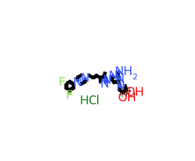 Cc1c(C=CCN2CCN(c3cc(F)cc(F)c3)CC2)cnn1-c1cc(N2C[C@@H](O)[C@H](O)C2)nc(N)n1.Cl